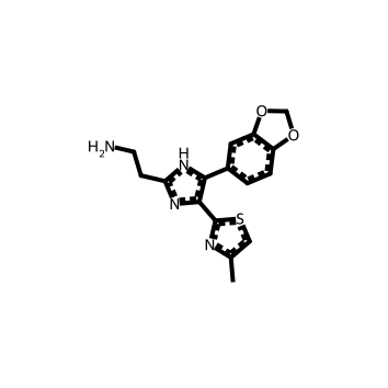 Cc1csc(-c2nc(CCN)[nH]c2-c2ccc3c(c2)OCO3)n1